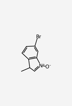 CC1C=[N+]([O-])c2cc(Br)ccc21